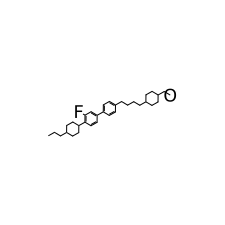 CCCC1CCC(c2ccc(-c3ccc(CCCCC4CCC(COC)CC4)cc3)cc2F)CC1